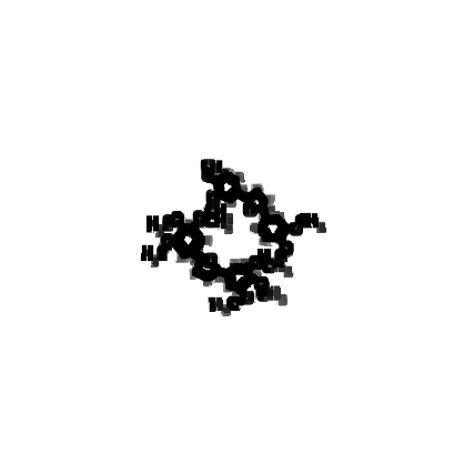 COc1cc(C2CCC(c3cc(OC)c(OC)c(OC)c3)O2)cc(OC)c1OC.COc1ccc(C2CCC(c3ccc(OC)c(OC)c3)O2)cc1OC